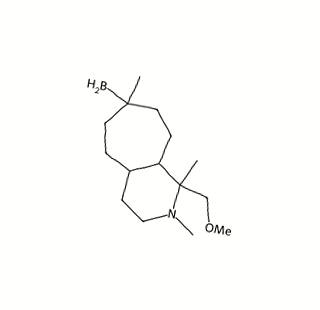 BC1(C)CCC2CCN(C)C(C)(COC)C2CC1